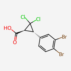 O=C(O)[C@@H]1[C@@H](c2ccc(Br)c(Br)c2)C1(Cl)Cl